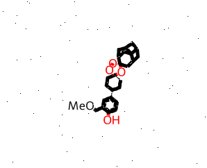 COCc1cc([C@H]2CC[C@]3(CC2)OO[C@]2(O3)C3CC4CC5CC2CC45C3)ccc1O